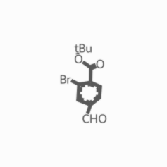 CC(C)(C)OC(=O)c1ccc(C=O)cc1Br